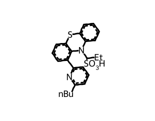 CCCCc1cccc(-c2cccc3c2N(C(CC)S(=O)(=O)O)c2ccccc2S3)n1